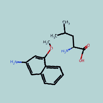 CC(C)C[C@H](N)C(=O)O.COc1cc(N)cc2ccccc12